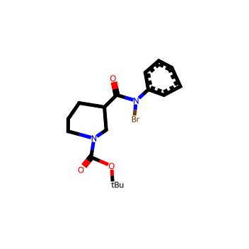 CC(C)(C)OC(=O)N1CCCC(C(=O)N(Br)c2ccccc2)C1